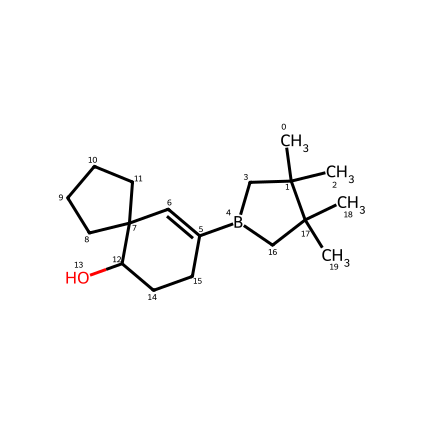 CC1(C)CB(C2=CC3(CCCC3)C(O)CC2)CC1(C)C